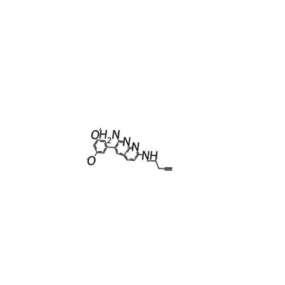 C#CCCCNc1ccc2cc(-c3cc(OC)cc(OC)c3)c(N)nc2n1